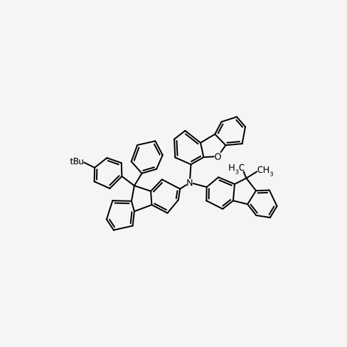 CC(C)(C)c1ccc(C2(c3ccccc3)c3ccccc3-c3ccc(N(c4ccc5c(c4)C(C)(C)c4ccccc4-5)c4cccc5c4oc4ccccc45)cc32)cc1